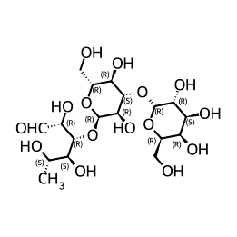 C[C@H](O)[C@H](O)[C@@H](O[C@H]1O[C@H](CO)[C@@H](O)[C@H](O[C@H]2O[C@H](CO)[C@H](O)[C@H](O)[C@H]2O)[C@H]1O)[C@@H](O)C=O